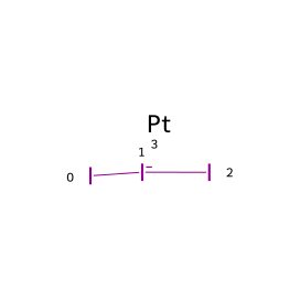 I[I-]I.[Pt]